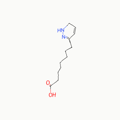 O=C(O)CCCCCCCC1=NNCC=C1